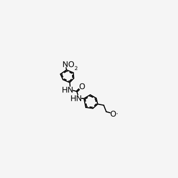 [O]CCc1ccc(NC(=O)Nc2ccc([N+](=O)[O-])cc2)cc1